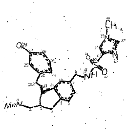 CNCC1Cc2ccc(CNS(=O)(=O)c3cn(C)cn3)cc2C1Cc1cccc(Cl)c1